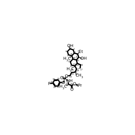 CC[C@@H]1C2C[C@H](O)CC[C@]2(C)C2CC[C@@]3(C)C(CC[C@@H]3[C@H](C)CCOP(=O)(N[C@@H](C)C(=O)OC(C)C)Oc3ccc(F)cc3)C2[C@@H]1O